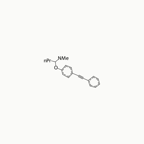 CCCC(NC)Oc1ccc(C#Cc2ccccc2)cc1